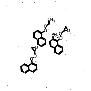 C=COOc1cccc2ccccc12.Pc1ccc2ccccc2c1OOC1CO1.c1ccc2c(OOC3CO3)cccc2c1